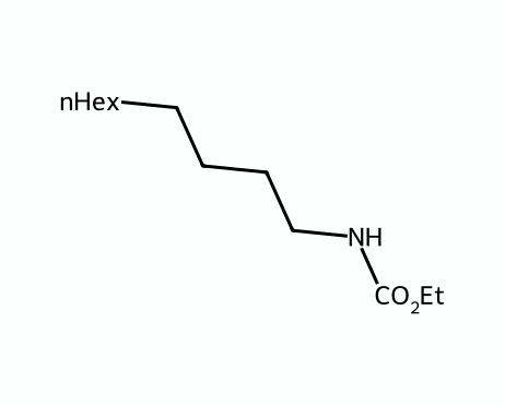 CCCCCCCCCCNC(=O)OCC